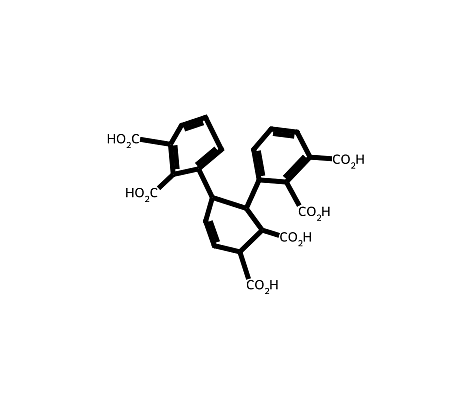 O=C(O)c1cccc(C2C=CC(C(=O)O)C(C(=O)O)C2c2cccc(C(=O)O)c2C(=O)O)c1C(=O)O